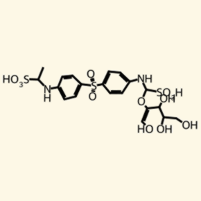 CC(Nc1ccc(S(=O)(=O)c2ccc(NC(O/C(=C/O)C(O)C(O)CO)S(=O)(=O)O)cc2)cc1)S(=O)(=O)O